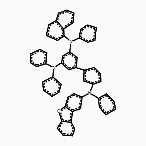 c1ccc(N(c2ccccc2)c2cc(-c3cccc(N(c4ccccc4)c4ccc5oc6ccccc6c5c4)c3)cc(N(c3ccccc3)c3cccc4ccccc34)c2)cc1